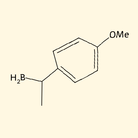 BC(C)c1ccc(OC)cc1